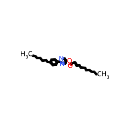 CCCCCCCCCC=CC(=O)Oc1cnc(-c2ccc(CCCCCCCC)cc2)nc1